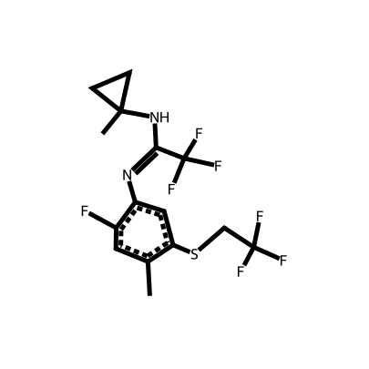 Cc1cc(F)c(/N=C(/NC2(C)CC2)C(F)(F)F)cc1SCC(F)(F)F